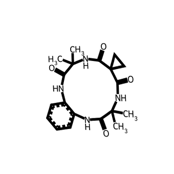 CC1(C)NC(=O)C2(CC2)C(=O)NC(C)(C)C(=O)Nc2ccccc2NC1=O